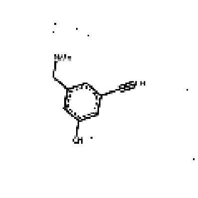 C#Cc1cc(C#N)cc(CNC)c1